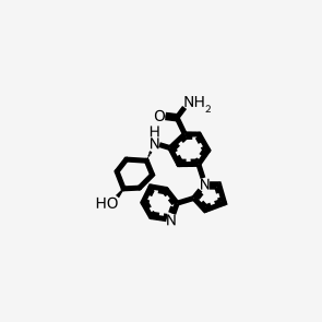 NC(=O)c1ccc(-n2cccc2-c2ccccn2)cc1N[C@H]1CC[C@H](O)CC1